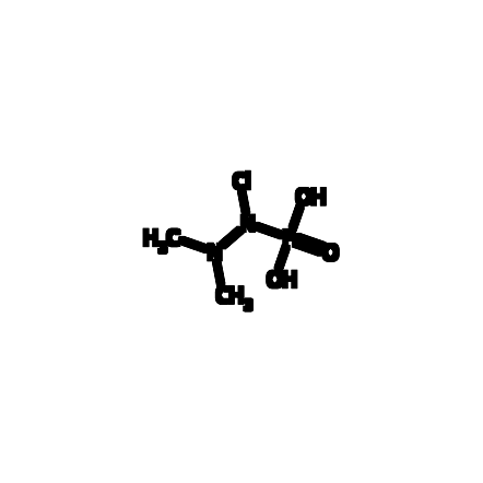 CN(C)N(Cl)P(=O)(O)O